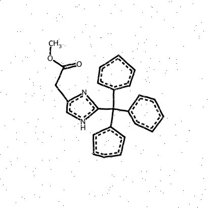 COC(=O)Cc1c[nH]c(C(c2ccccc2)(c2ccccc2)c2ccccc2)n1